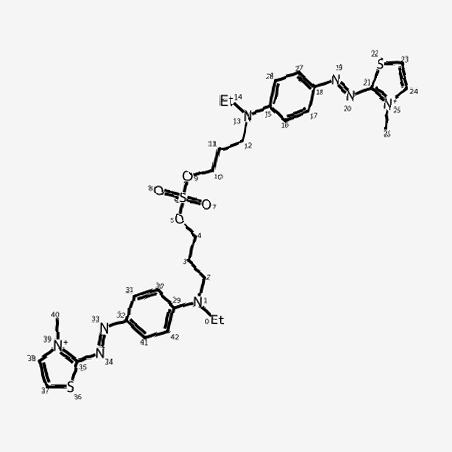 CCN(CCCOS(=O)(=O)OCCCN(CC)c1ccc(/N=N/c2scc[n+]2C)cc1)c1ccc(/N=N/c2scc[n+]2C)cc1